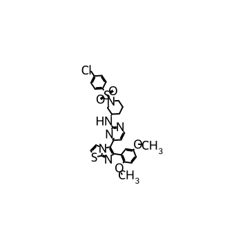 COc1ccc(OC)c(-c2nc3sccn3c2-c2ccnc(N[C@@H]3CCCN(S(=O)(=O)c4ccc(Cl)cc4)C3)n2)c1